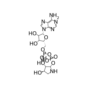 Nc1ncnc2c1ncn2[C@@H]1O[C@H](CO[PH](=O)OP(=O)(O)OC2NC[C@@H](O)C2O)C(O)C1O